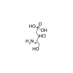 Cl.N[C@@H](CO)CCP(=O)(O)O